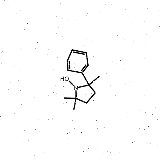 CC1(C)CCC(C)(c2ccccc2)N1O